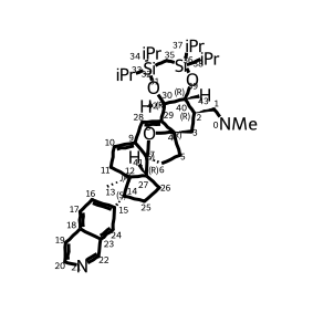 CNC[C@H]1C[C@@]23CC[C@@]4(O2)C(=CC[C@]2(C)[C@@H](c5ccc6ccncc6c5)CC[C@H]24)C=C3[C@H]2O[Si](C(C)C)(C(C)C)C[Si](C(C)C)(C(C)C)O[C@H]12